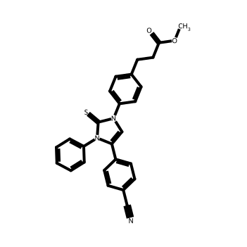 COC(=O)CCc1ccc(-n2cc(-c3ccc(C#N)cc3)n(-c3ccccc3)c2=S)cc1